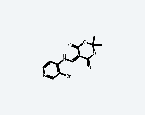 CC1(C)OC(=O)C(=CNc2ccncc2Br)C(=O)O1